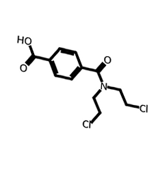 O=C(O)c1ccc(C(=O)N(CCCl)CCCl)cc1